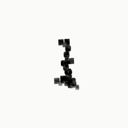 CCC(=O)C(Cc1ccc(OCC(=O)NCCOCCOCCN)cc1)NC(C)S